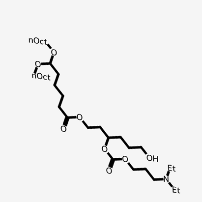 CCCCCCCCOC(CCCCC(=O)OCCC(CCCO)OC(=O)OCCCN(CC)CC)OCCCCCCCC